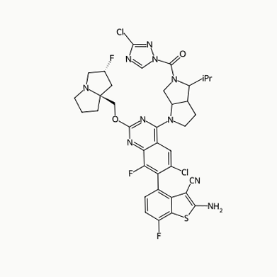 CC(C)C1C2CCN(c3nc(OC[C@@]45CCCN4C[C@H](F)C5)nc4c(F)c(-c5ccc(F)c6sc(N)c(C#N)c56)c(Cl)cc34)C2CN1C(=O)n1cnc(Cl)n1